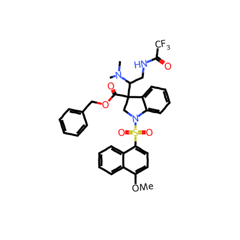 COc1ccc(S(=O)(=O)N2CC(C(=O)OCc3ccccc3)(C(CNC(=O)C(F)(F)F)N(C)C)c3ccccc32)c2ccccc12